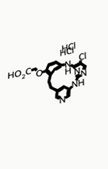 Cl.Cl.O=C(O)COc1ccc2cc1CCc1cncc(c1)Nc1ncc(Cl)c(n1)N2